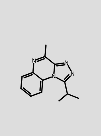 Cc1nc2ccccc2n2c(C(C)C)nnc12